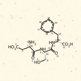 N[C@@H](CC(=O)O)C(=O)N[C@@H](CO)C(=O)N[C@H](Cc1ccccc1)C(=O)O